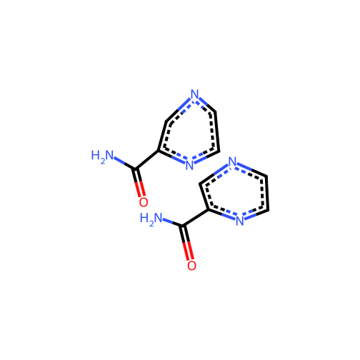 NC(=O)c1cnccn1.NC(=O)c1cnccn1